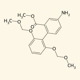 COCOc1cccc(OCOC)c1-c1ccc(N)cc1C(=O)OC